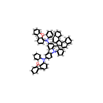 c1ccc(N(c2ccc3c(c2)c2cc(N(c4ccccc4)c4cccc5c4oc4ccccc45)cc4c2n3-c2ccccc2C42c3ccc4ccccc4c3-c3c2ccc2ccccc32)c2cccc3c2oc2ccccc23)cc1